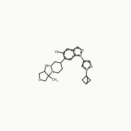 CC1(N2CCC(c3cc4c(cnn4-c4cnn(C56CC(C5)C6)c4)cc3Cl)CC2)COCC1O